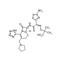 CC(C)(O/N=C(\C(=O)N[C@@H]1C(=O)N2C(c3nnn[nH]3)=C(CN3CCCC3)CS[C@H]12)c1csc(N)n1)C(=O)O